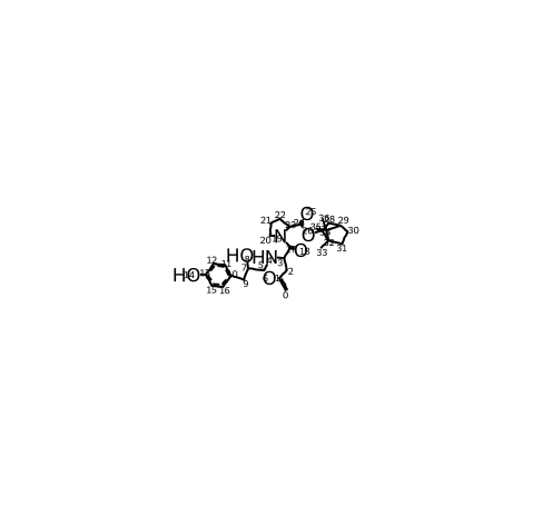 C=CCC(NC(=O)C(O)Cc1ccc(O)cc1)C(=O)N1CCCC1C(=O)OC1CC2CCC1(C)C2(C)C